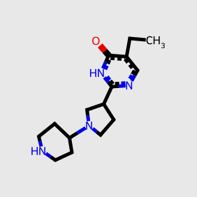 CCc1cnc(C2CCN(C3CCNCC3)C2)[nH]c1=O